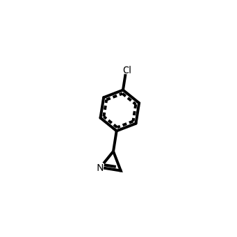 Clc1ccc(C2C=N2)cc1